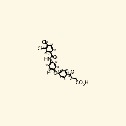 O=C(O)CCC(=O)c1ccc(Oc2ccc(NC(=O)c3ccc(Cl)c(Cl)c3)cc2F)cc1